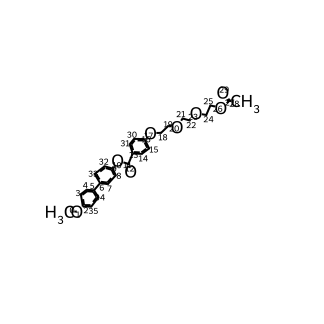 COc1ccc(-c2ccc(OC(=O)c3ccc(OCCOCCOCCOC(C)=O)cc3)cc2)cc1